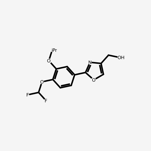 CC(C)Oc1cc(-c2nc(CO)co2)ccc1OC(F)F